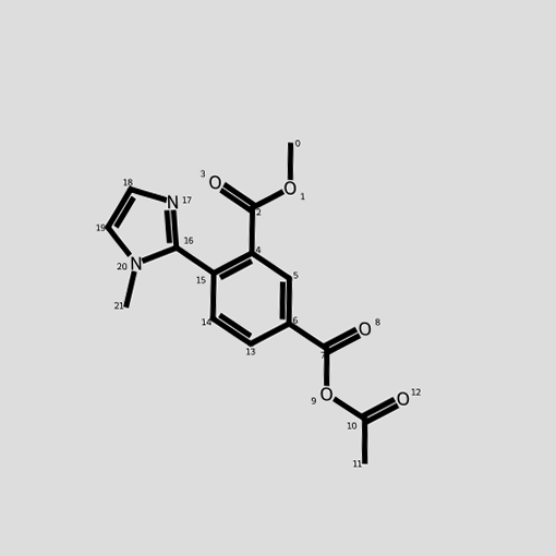 COC(=O)c1cc(C(=O)OC(C)=O)ccc1-c1nccn1C